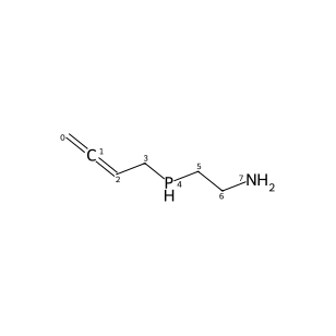 C=C=CCPCCN